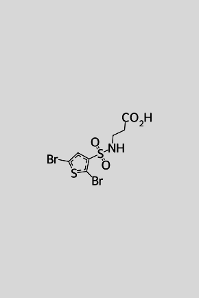 O=C(O)CCNS(=O)(=O)c1cc(Br)sc1Br